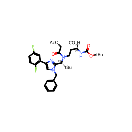 CC(=O)OCC(=O)N(CC[C@H](NC(=O)OC(C)(C)C)C(=O)O)[C@@H](c1nc(-c2cc(F)ccc2F)cn1Cc1ccccc1)C(C)(C)C